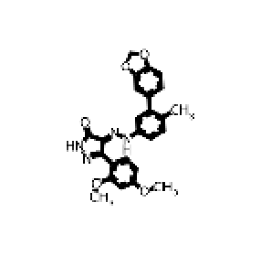 COc1ccc(C2=NNC(=O)/C2=N/Nc2ccc(C)c(-c3ccc4c(c3)OCO4)c2)c(OC)c1